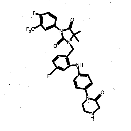 CC1(C)C(=O)N(c2ccc(F)c(C(F)(F)F)c2)C(=O)N1Cc1ccc(F)cc1Nc1ccc(N2CCNCC2=O)cc1